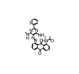 CNc1nc(-c2ccccn2)nc(N)c1/N=N/c1cccc2c1C(=O)c1c(NC(C)=O)cccc1C2=O